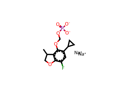 CC1COc2c(F)cc(C3CC3)c(OCOP(=O)([O-])[O-])c21.[Na+].[Na+]